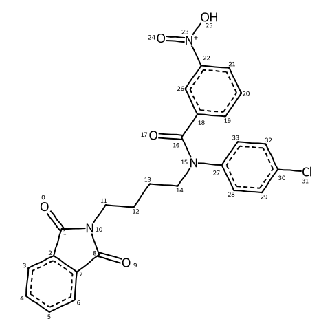 O=C1c2ccccc2C(=O)N1CCCCN(C(=O)c1cccc([N+](=O)O)c1)c1ccc(Cl)cc1